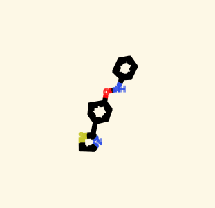 c1ccc(NOc2ccc(-c3nccs3)cc2)cc1